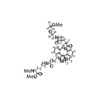 CNC(CCCCNC(=O)OCCN(N)/C1=C(\N)c2ccccc2N(C(=O)C(C)(C)CC(C)(C)C(=O)NCC(C)(C)OCC(C)(C)OC)Cc2ccccc21)C(=O)OC